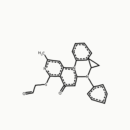 Cc1cc2c(c(SCC=O)n1)c(=O)cc(N(c1ccccc1)C1CC1)n2-c1ccccc1